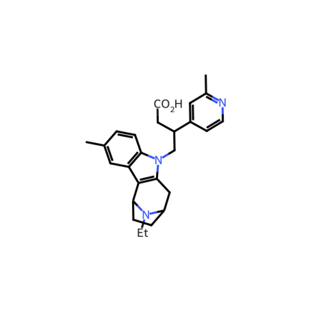 CCN1C2CCC1c1c(n(CC(CC(=O)O)c3ccnc(C)c3)c3ccc(C)cc13)C2